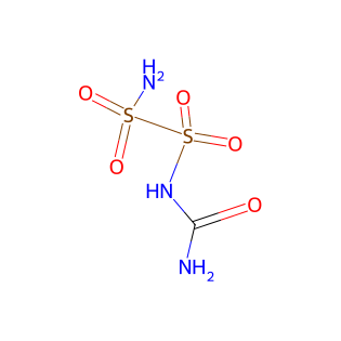 NC(=O)NS(=O)(=O)S(N)(=O)=O